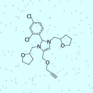 C#CCOCC1=CN(CC2CCCO2)C(c2ccc(Cl)cc2Cl)N1CC1CCCO1